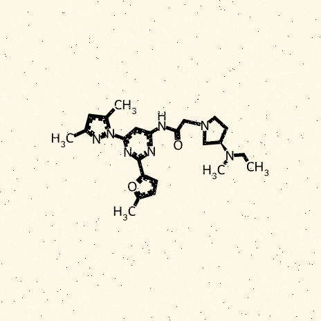 CCN(C)[C@@H]1CCN(CC(=O)Nc2cc(-n3nc(C)cc3C)nc(-c3ccc(C)o3)n2)C1